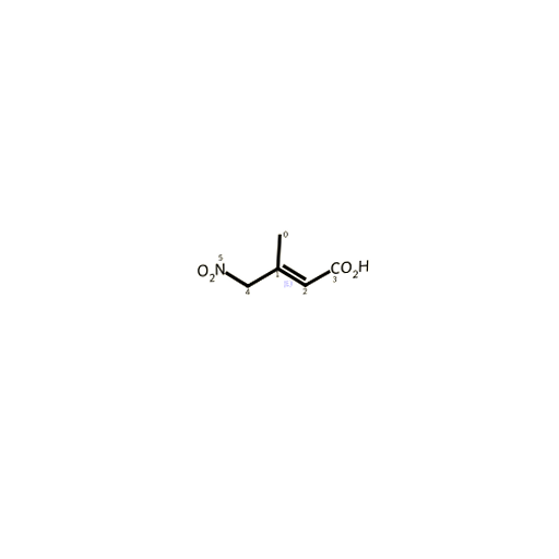 C/C(=C\C(=O)O)C[N+](=O)[O-]